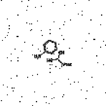 CCCCCC(O)O.Nc1ccccc1